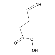 N=CCCC(=O)OO